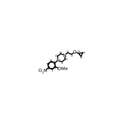 COc1cc([N+](=O)[O-])ccc1N1CCN(CCOC2CC2)CC1